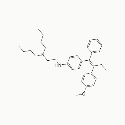 CCCCN(CCCC)CCNc1ccc(/C(=C(/CC)c2ccc(OC)cc2)c2ccccc2)cc1